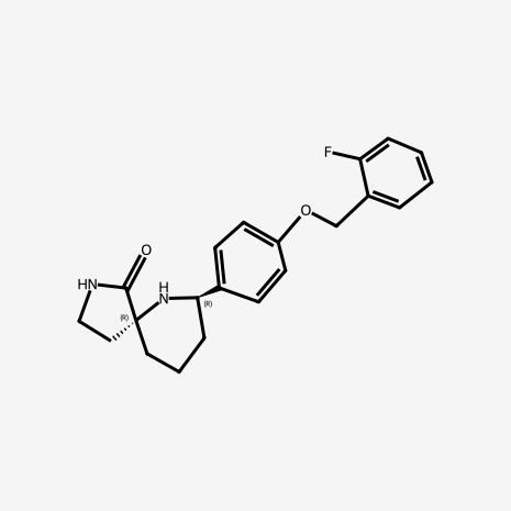 O=C1NCC[C@]12CCC[C@H](c1ccc(OCc3ccccc3F)cc1)N2